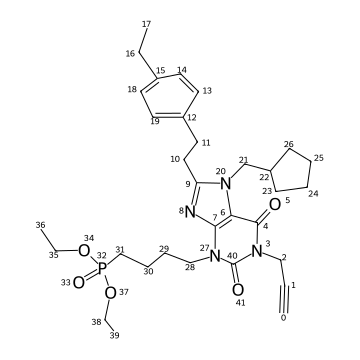 C#CCn1c(=O)c2c(nc(CCc3ccc(CC)cc3)n2CC2CCCC2)n(CCCCP(=O)(OCC)OCC)c1=O